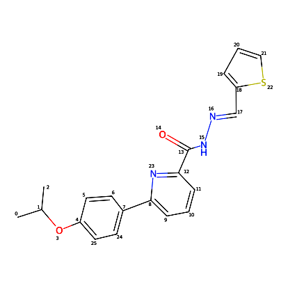 CC(C)Oc1ccc(-c2cccc(C(=O)NN=Cc3cccs3)n2)cc1